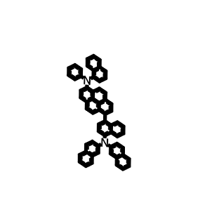 c1ccc(N(c2cccc3ccccc23)c2ccc3ccc4c(-c5ccc(N(c6ccc7ccccc7c6)c6ccc7ccccc7c6)c6ccccc56)ccc5ccc2c3c54)cc1